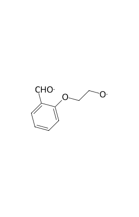 [O]CCOc1ccccc1[C]=O